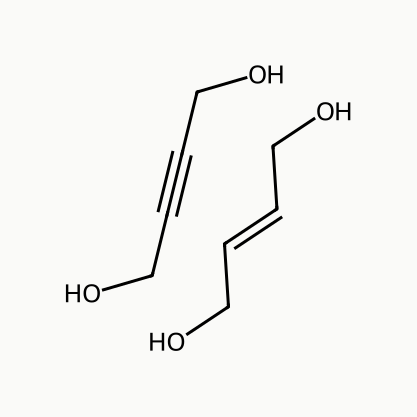 OCC#CCO.OCC=CCO